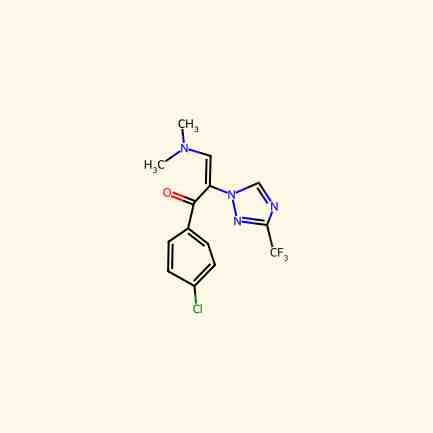 CN(C)/C=C(\C(=O)c1ccc(Cl)cc1)n1cnc(C(F)(F)F)n1